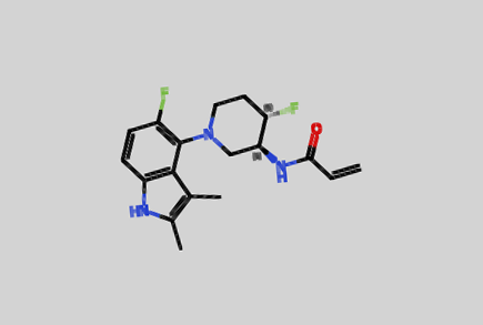 C=CC(=O)N[C@H]1CN(c2c(F)ccc3[nH]c(C)c(C)c23)CC[C@@H]1F